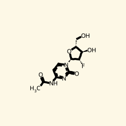 CC(=O)Nc1ccn([C@@H]2O[C@H](CO)[C@@H](O)[C@@H]2F)c(=O)n1